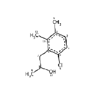 Cc1ccc(Cl)c(CC(C)O)c1C